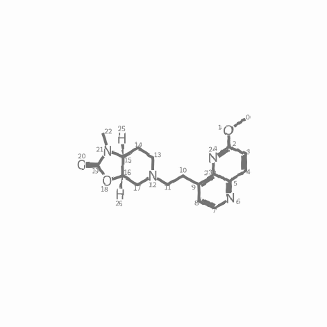 COc1ccc2nccc(CCN3CC[C@@H]4[C@H](C3)OC(=O)N4C)c2n1